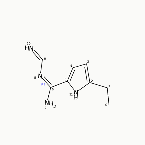 CCc1ccc(/C(N)=N\C=N)[nH]1